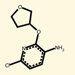 Nc1ccc(Cl)nc1OC1CCOC1